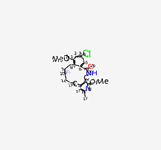 COc1cc(Cl)cc2c1C/C=C\CCCc1cc(C)nc(OC)c1CNC2=O